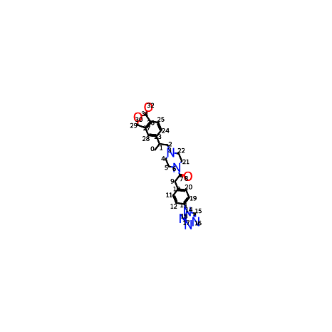 CC(CN1CCN(C(=O)Cc2ccc(-n3cnnn3)cc2)CC1)c1ccc2c(c1)COC2=O